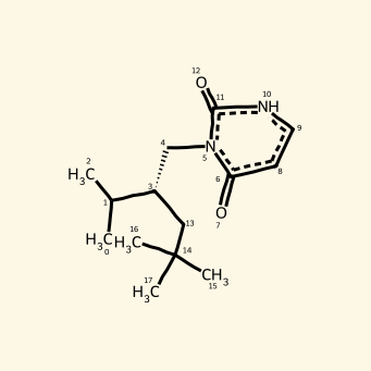 CC(C)[C@H](Cn1c(=O)cc[nH]c1=O)CC(C)(C)C